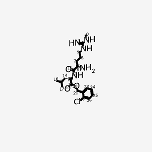 CNC(=N)NCCC[C@@H](N)C(=O)N[C@@H](CC(C)C)C(=O)OCc1ccccc1Cl